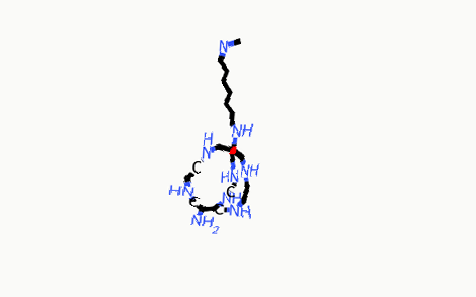 C/N=C\CCCCCCNC12CNCCNCC(N)(CNCCNC1)CNCCNC2